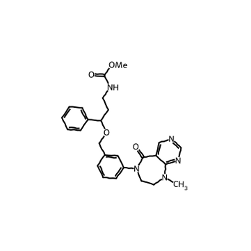 COC(=O)NCCC(OCc1cccc(N2CCN(C)c3ncncc3C2=O)c1)c1ccccc1